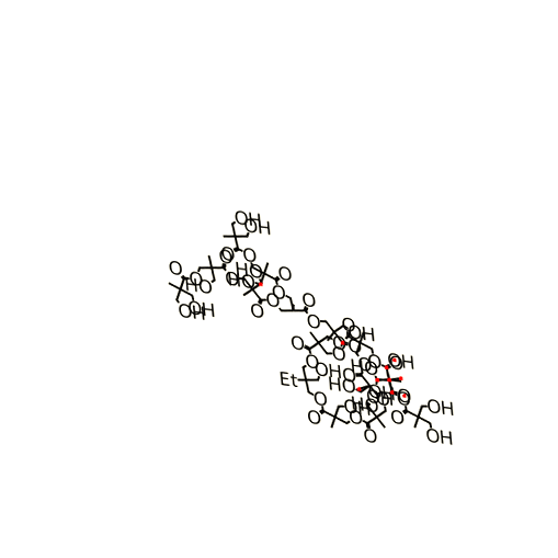 CCC(CO)(COC(=O)C(C)(CO)COC(=O)C(C)(CO)COC(=O)C(C)(CO)CO)COC(=O)C(C)(COC(=O)C(C)(CO)COC(=O)C(C)(COC(=O)C(C)(CO)COC(=O)C(C)(CO)CO)COC(=O)C(C)(CO)COC(=O)C(C)(CO)COC(=O)C(C)(CO)CO)COC(=O)C(C)(COC(=O)C(C)(CO)CO)COC(=O)C(C)(CO)COC(=O)C(C)(CO)CO